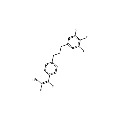 CCC/C(F)=C(/F)c1ccc(CCCc2cc(F)c(F)c(F)c2)cc1